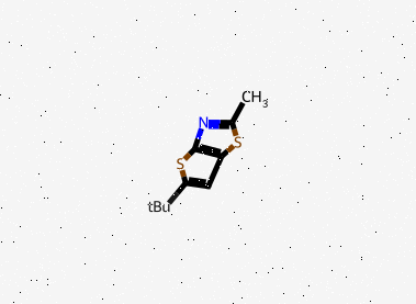 Cc1nc2sc(C(C)(C)C)cc2s1